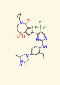 CCc1cc(N2C[C@H](C)N[C@@H](C)C2)ccc1Nc1ncc(C(F)(F)F)c(-c2cc3c(s2)C(=O)N(C2CC2)CCS3(=O)=O)n1